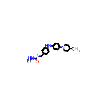 CCNC(=O)NCc1ccc(Nc2ccc(N3CCC(C)CC3)cc2)cc1